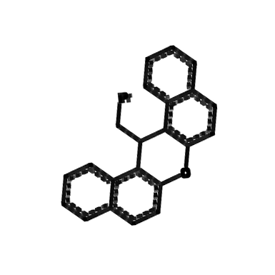 CC(C)CC1c2c(ccc3ccccc23)Oc2ccc3ccccc3c21